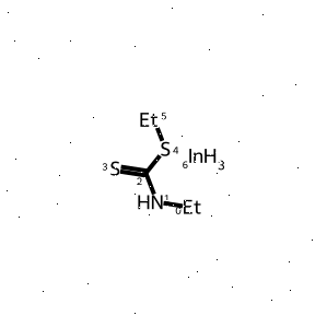 CCNC(=S)SCC.[InH3]